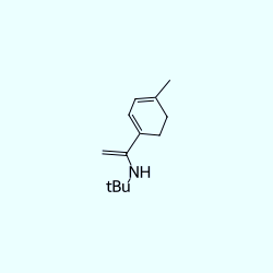 C=C(NC(C)(C)C)C1=CC=C(C)CC1